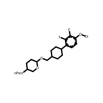 CCCCCC1CCC(OCC2CCC(c3ccc(OCC)c(F)c3F)CC2)OC1